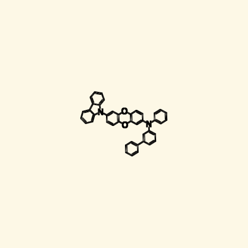 c1ccc(-c2cccc(N(c3ccccc3)c3ccc4c(c3)Oc3ccc(-n5c6ccccc6c6ccccc65)cc3O4)c2)cc1